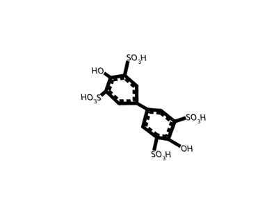 O=S(=O)(O)c1cc(-c2cc(S(=O)(=O)O)c(O)c(S(=O)(=O)O)c2)cc(S(=O)(=O)O)c1O